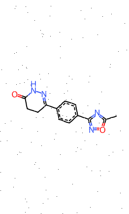 Cc1nc(-c2ccc(C3=NNC(=O)CC3)cc2)no1